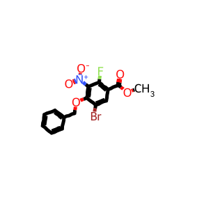 COC(=O)c1cc(Br)c(OCc2ccccc2)c([N+](=O)[O-])c1F